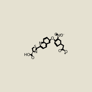 COC(=O)CC1C=CC(Oc2ccc3nc(C4=N[C@@H](C(=O)O)CS4)ccc3c2)=C([N+](=O)[O-])C1